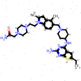 Cc1c(CN2CCC(Nc3nc(N)nc4sc(CC(F)(F)F)cc34)CC2)ccc2c1cc(C#N)n2CCN1CCN(CC(N)=O)CC1